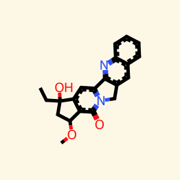 CCC1(O)CC(OC)c2c1cc1n(c2=O)Cc2cc3ccccc3nc2-1